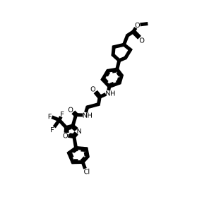 COC(=O)CC1CCC(c2ccc(NC(=O)CCNC(=O)c3nc(-c4ccc(Cl)cc4)oc3C(F)(F)F)cc2)CC1